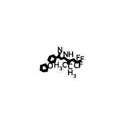 CC1(C)C(/C=C(\Cl)C(F)(F)F)C1C(=N)CC(C#N)c1cccc(Oc2ccccc2)c1